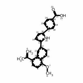 C=C(C)c1ccc(OC)c2ccc(-c3ccc(-c4ccc(C(=O)O)cc4)[nH]3)cc12